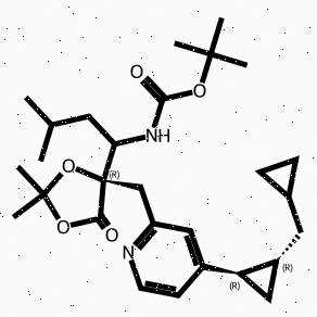 CC(C)CC(NC(=O)OC(C)(C)C)[C@@]1(Cc2cc([C@@H]3C[C@H]3CC3CC3)ccn2)OC(C)(C)OC1=O